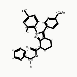 COc1ccc(-c2c3c(nn2-c2ccc(Cl)cc2Cl)C(C(=O)N[C@H](C)c2ccccc2)CCC3)cc1